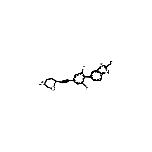 C[C@@H]1CCC(C#Cc2cc(F)c(-c3ccc4nc(F)sc4c3)c(F)c2)OC1